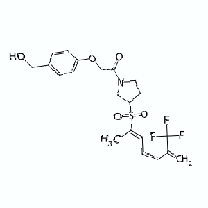 C=C(/C=C\C=C(/C)S(=O)(=O)C1CCN(C(=O)COc2ccc(CO)cc2)C1)C(F)(F)F